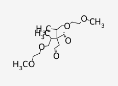 COCCOCC(C)C([C]=O)(CC=O)C(C)COCCOC